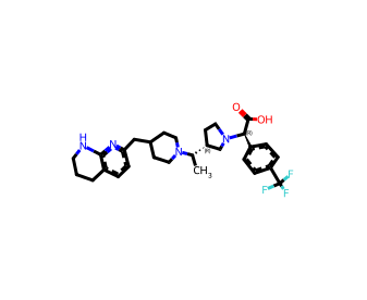 CC([C@@H]1CCN([C@@H](C(=O)O)c2ccc(C(F)(F)F)cc2)C1)N1CCC(Cc2ccc3c(n2)NCCC3)CC1